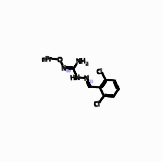 CCCO/N=C(\N)N/N=C/c1c(Cl)cccc1Cl